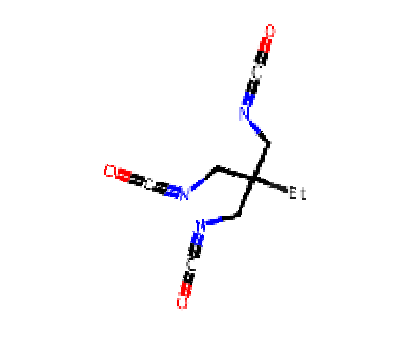 CCC(CN=C=O)(CN=C=O)CN=C=O